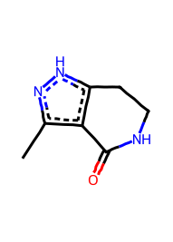 Cc1n[nH]c2c1C(=O)NCC2